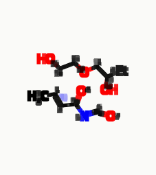 C/C=C/C(=O)N=C=O.CCC(O)COCCO